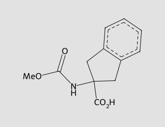 COC(=O)NC1(C(=O)O)Cc2ccccc2C1